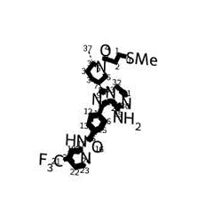 CSCCC(=O)N1C[C@H](c2nc(-c3ccc(C(=O)Nc4cc(C(F)(F)F)ccn4)cc3)c3c(N)nccn23)CC[C@@H]1C